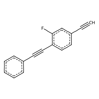 C#Cc1ccc(C#Cc2ccccc2)c(F)c1